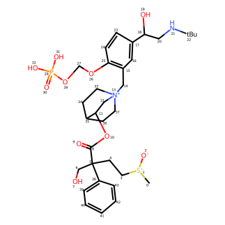 C[S+]([O-])CCC(CO)(C(=O)OC1C[N+]2(Cc3cc(C(O)CNC(C)(C)C)ccc3OCOP(=O)(O)O)CCC1CC2)c1ccccc1